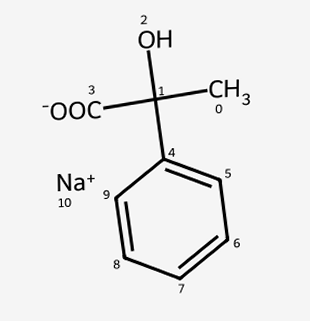 CC(O)(C(=O)[O-])c1ccccc1.[Na+]